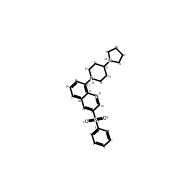 O=S(=O)(c1ccccc1)c1cnc2c(N3CCC(N4CCCC4)CC3)cccc2c1